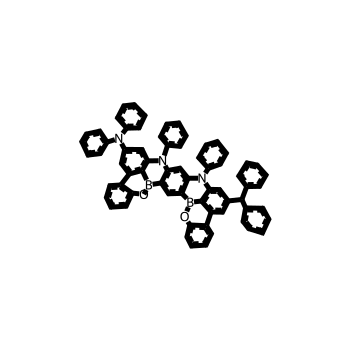 c1ccc(C(c2ccccc2)c2cc3c4c(c2)N(c2ccccc2)c2cc5c(cc2B4Oc2ccccc2-3)B2Oc3ccccc3-c3cc(N(c4ccccc4)c4ccccc4)cc(c32)N5c2ccccc2)cc1